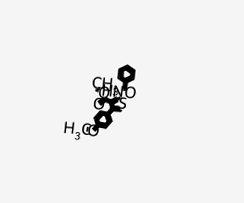 CCOC(=O)c1c(-c2ccc(OC)cc2)csc1NC(=O)c1ccccc1